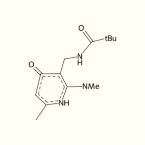 CNc1[nH]c(C)cc(=O)c1CNC(=O)C(C)(C)C